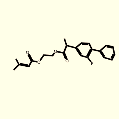 CC(C)=CC(=O)OCCOC(=O)C(C)c1ccc(-c2ccccc2)c(F)c1